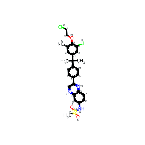 CC(C)(c1ccc(-c2cnc3cc(NS(C)(=O)=O)ccc3n2)cc1)c1cc(Cl)c(OCCCl)c(C#N)c1